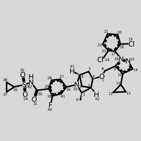 C[C@@H]1[C@@H]2C[C@@H](C[C@H]2OCc2c(C3CC3)cnn2-c2c(Cl)cccc2Cl)N1c1ccc(C(=O)NS(=O)(=O)C2CC2)c(F)c1